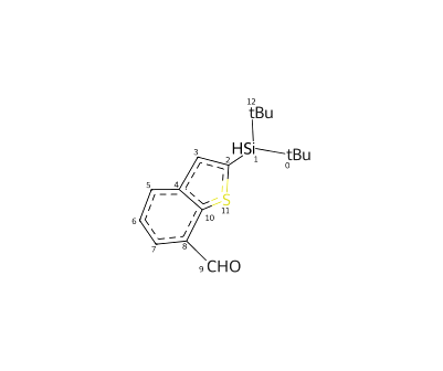 CC(C)(C)[SiH](c1cc2cccc(C=O)c2s1)C(C)(C)C